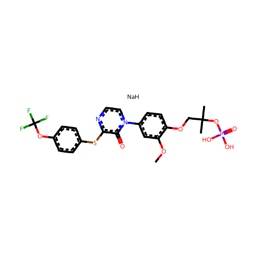 COc1cc(-n2ccnc(Sc3ccc(OC(F)(F)F)cc3)c2=O)ccc1OCC(C)(C)OP(=O)(O)O.[NaH]